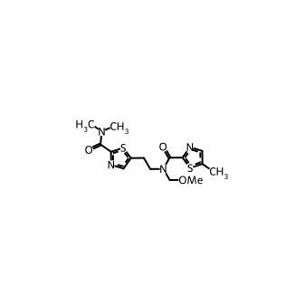 COCN(CCc1cnc(C(=O)N(C)C)s1)C(=O)c1ncc(C)s1